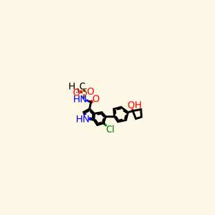 CS(=O)(=O)NC(=O)c1c[nH]c2cc(Cl)c(-c3ccc(C4(O)CCC4)cc3)cc12